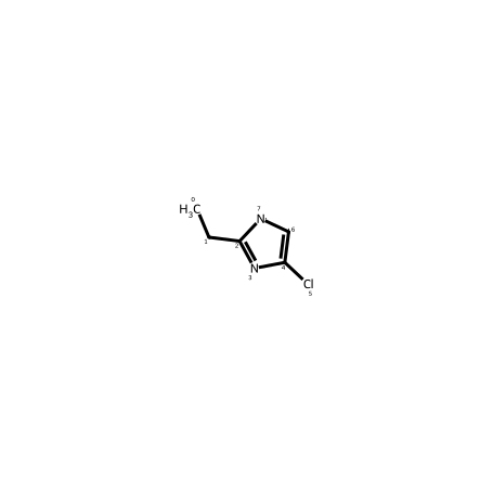 CCC1=NC(Cl)=[C][N]1